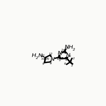 CC(C)(C)c1cc(N2CC[C@@H](N)C2)nc(N)n1